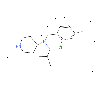 CC(C)CN(Cc1ccc(F)cc1Cl)C1CCNCC1